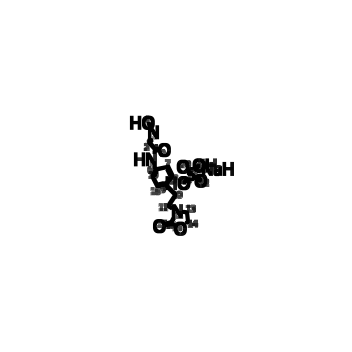 O=C(C=NO)Nc1ccc(CCN2CCOC2=O)cc1.O=S(=O)(O)O.[NaH]